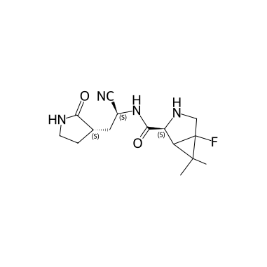 CC1(C)C2[C@@H](C(=O)N[C@H](C#N)C[C@@H]3CCNC3=O)NCC21F